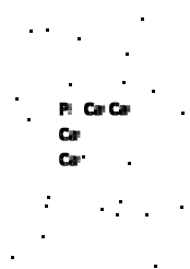 [Ca].[Ca].[Ca].[Ca].[P]